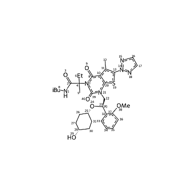 CCC(C)NC(=O)C(C)(CC)n1c(=O)c2c(C)c(-n3nccn3)sc2n(C[C@H](O[C@H]2CC[C@@H](O)CC2)c2ccccc2OC)c1=O